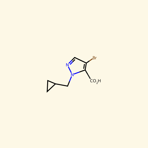 O=C(O)c1c(Br)cnn1CC1CC1